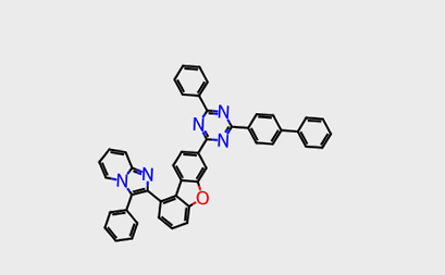 c1ccc(-c2ccc(-c3nc(-c4ccccc4)nc(-c4ccc5c(c4)oc4cccc(-c6nc7ccccn7c6-c6ccccc6)c45)n3)cc2)cc1